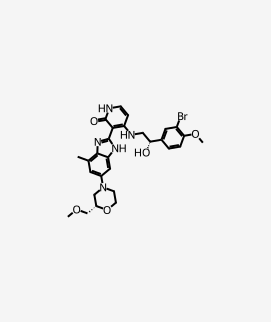 COC[C@@H]1CN(c2cc(C)c3nc(-c4c(NC[C@@H](O)c5ccc(OC)c(Br)c5)cc[nH]c4=O)[nH]c3c2)CCO1